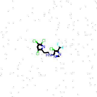 FC(F)c1ncnc(NCCc2nc(Cl)c(Cl)cc2Cl)c1Cl